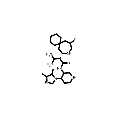 CC1NCN(C2CCNCC2NC(=O)C(C(N)N)[C@@H]2CC3(CCCCC3)CC(F)CN2)C1C